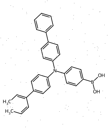 C/C=C\C(=C/C)c1ccc(N(c2ccc(B(O)O)cc2)c2ccc(-c3ccccc3)cc2)cc1